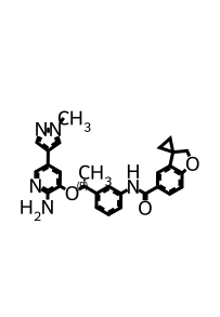 C[C@@H](Oc1cc(-c2cnn(C)c2)cnc1N)c1cccc(NC(=O)c2ccc3c(c2)C2(CC2)CO3)c1